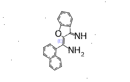 N=C1/C(=C(\N)c2cccc3ccccc23)Oc2ccccc21